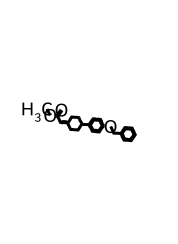 COC(=O)C=C1CCC(c2ccc(OCc3ccccc3)cc2)CC1